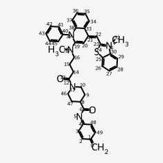 C=C1C=CC(=NC(=O)C2CCN(C(=O)CCCN(C)C3=C/C(=C\c4sc5ccccc5[n+]4C)c4ccccc4N3c3ccccc3)CC2)C=C1